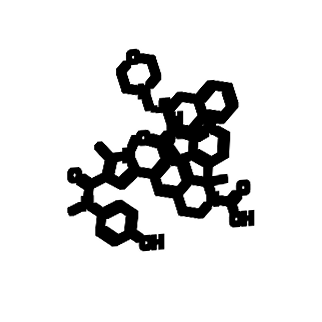 Cc1c(C(=O)N(C)c2ccc(O)cc2)cc(-c2cc3c(cc2C(=O)N2Cc4ccccc4C[C@H]2CN2CCOCC2)C(C)(c2ccnc4[nH]ccc24)N(C(=O)O)CC3)n1C